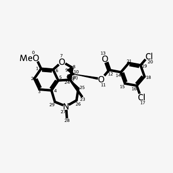 COc1ccc2c3c1OC1C[C@@H](OC(=O)c4cc(Cl)cc(Cl)c4)C(C)[C@@]31CCN(C)C2